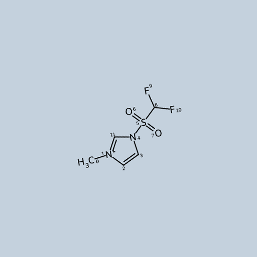 C[n+]1ccn(S(=O)(=O)C(F)F)c1